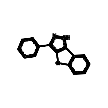 c1ccc(-c2n[nH]c3c2[N]c2ccccc2-3)cc1